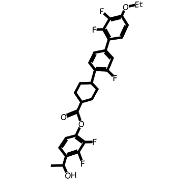 CCOc1ccc(-c2ccc(C3CCC(C(=O)Oc4ccc(C(C)O)c(F)c4F)CC3)c(F)c2)c(F)c1F